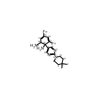 CC1(C)CCN(c2ncc(C3(N)C(F)=CC(F)=CC3N)cn2)CC1